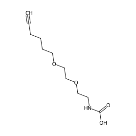 C#CCCCCOCCOCCNC(=O)O